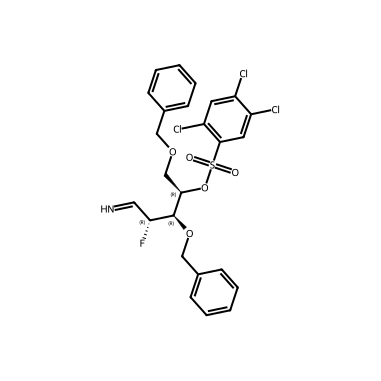 N=C[C@@H](F)[C@H](OCc1ccccc1)[C@@H](COCc1ccccc1)OS(=O)(=O)c1cc(Cl)c(Cl)cc1Cl